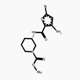 CC(C)(C)OC(=O)N1CCC[C@H](NC(=O)c2sc(Br)cc2N)C1